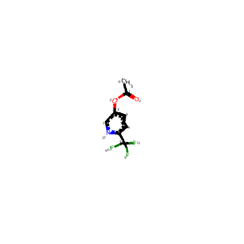 CC(=O)Oc1ccc(C(F)(F)F)nc1